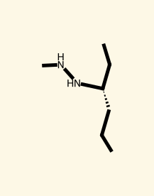 CCC[C@@H](CC)NNC